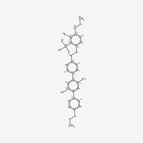 CCCc1ccc(-c2cc(F)c(-c3ccc(CCc4ccc(OCC)c(F)c4C(F)(F)F)cc3)cc2F)cc1